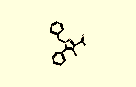 CC(=O)c1nn(Cc2ccccc2)c(-c2ccccc2)c1C